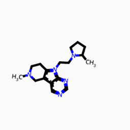 CC1CCCN1CCn1c2c(c3cncnc31)CN(C)CC2